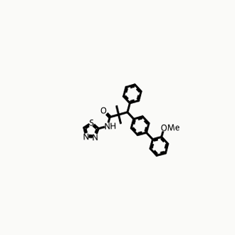 COc1ccccc1-c1ccc(C(c2ccccc2)C(C)(C)C(=O)Nc2nncs2)cc1